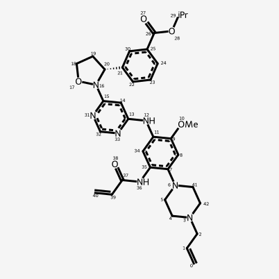 C=CCN1CCN(c2cc(OC)c(Nc3cc(N4OCC[C@@H]4c4cccc(C(=O)OC(C)C)c4)ncn3)cc2NC(=O)C=C)CC1